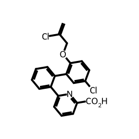 C=C(Cl)COc1ccc(Cl)cc1-c1ccccc1-c1cccc(C(=O)O)n1